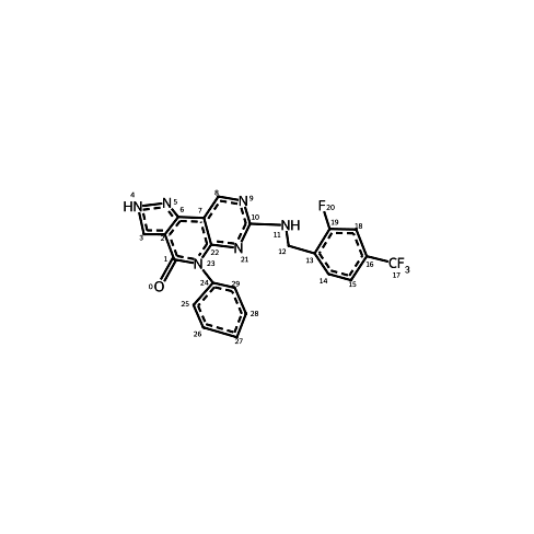 O=c1c2c[nH]nc2c2cnc(NCc3ccc(C(F)(F)F)cc3F)nc2n1-c1ccccc1